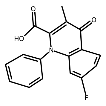 Cc1c(C(=O)O)n(-c2ccccc2)c2cc(F)ccc2c1=O